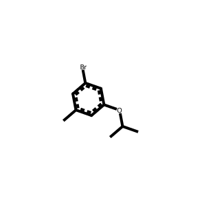 Cc1cc(Br)cc(OC(C)C)c1